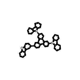 c1ccc2c(c1)oc1ccc(-c3ccc4c5ccc(-n6c7ccccc7c7ccccc76)cc5c5ccc(-n6c7ccccc7c7ccccc76)cc5c4c3)cc12